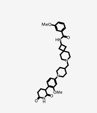 COc1cccc(C(=O)NC2CC3(CCN(CC4CCN(c5ccc(C6CCC(=O)NC6=O)c(OC)c5)CC4)CC3)C2)c1